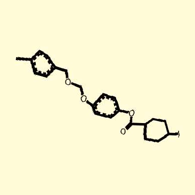 Cc1ccc(COCOc2ccc(OC(=O)C3CCC(I)CC3)cc2)cc1